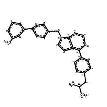 COc1cccc(-c2ccc(Cn3ccc4c(-c5ccc(CC(N)C(=O)O)cc5)ncnc43)cc2)c1